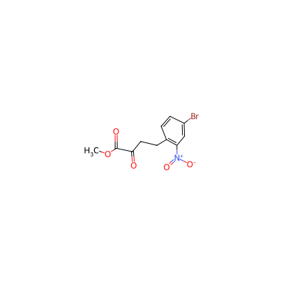 COC(=O)C(=O)CCc1ccc(Br)cc1[N+](=O)[O-]